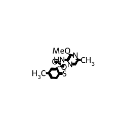 COc1nc(C)cnc1NS(=O)(=O)C1=CC(C)=CCC1=S